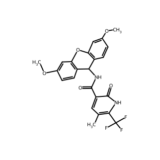 COc1ccc2c(c1)Oc1cc(OC)ccc1C2NC(=O)c1cc(C)c(C(F)(F)F)[nH]c1=O